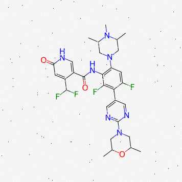 CC1CN(c2ncc(-c3c(F)cc(N4CC(C)N(C)C(C)C4)c(NC(=O)c4c[nH]c(=O)cc4C(F)F)c3F)cn2)CC(C)O1